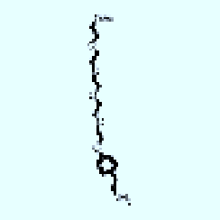 COCCOCCOCCOCCOCCOc1ccc(CCN)cc1